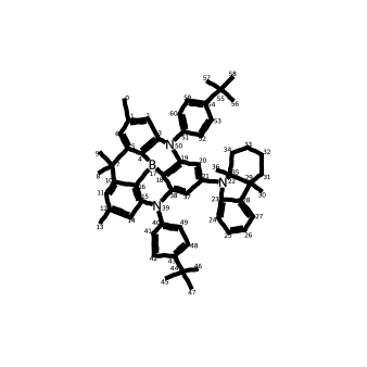 Cc1cc2c3c(c1)C(C)(C)c1cc(C)cc4c1B3c1c(cc(N3c5ccccc5C5(C)CCCCC35C)cc1N4c1ccc(C(C)(C)C)cc1)N2c1ccc(C(C)(C)C)cc1